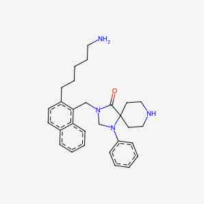 NCCCCCc1ccc2ccccc2c1CN1CN(c2ccccc2)C2(CCNCC2)C1=O